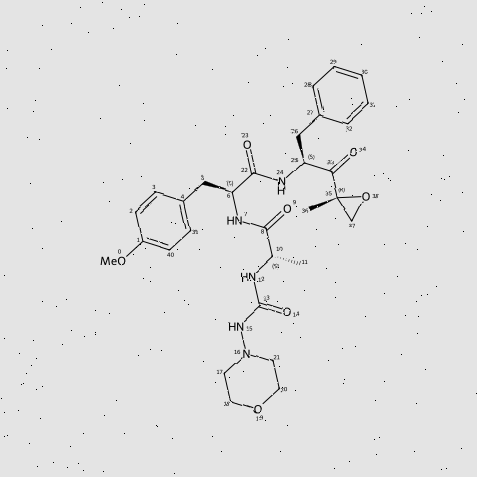 COc1ccc(C[C@H](NC(=O)[C@H](C)NC(=O)NN2CCOCC2)C(=O)N[C@@H](Cc2ccccc2)C(=O)[C@@]2(C)CO2)cc1